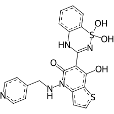 O=c1c(C2=NS(O)(O)c3ccccc3N2)c(O)c2sccc2n1NCc1ccncc1